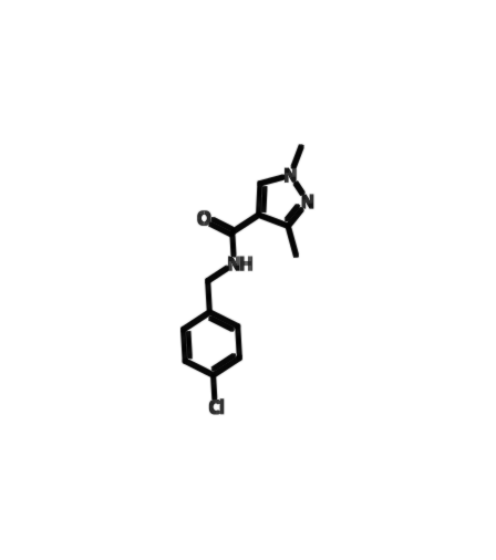 Cc1nn(C)cc1C(=O)NCc1ccc(Cl)cc1